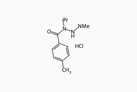 CNNN(C(=O)c1ccc(C)cc1)C(C)C.Cl